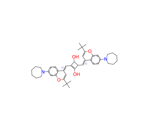 CC(C)(C)C1=C/C(=C\C2=C(O)C(/C=C3\C=C(C(C)(C)C)Oc4cc(N5CCCCCC5)ccc43)C2O)c2ccc(N3CCCCCC3)cc2O1